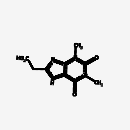 Cn1c(=O)c2[nH]c(CC(=O)O)nc2n(C)c1=O